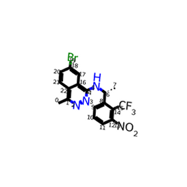 Cc1nnc(N[C@H](C)c2cccc([N+](=O)[O-])c2C(F)(F)F)c2cc(Br)ccc12